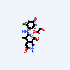 CC1c2cc(=O)n(C)cc2C(=O)N(OCCO)C1Nc1ccc(Br)cc1F